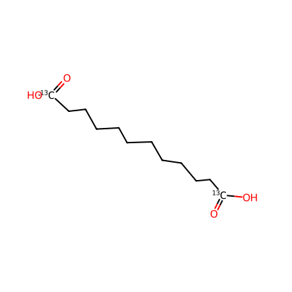 O=[13C](O)CCCCCCCCCC[13C](=O)O